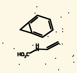 C=CNC(=O)O.c1ccc2c(c1)C2